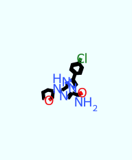 NC(=O)c1cnc(NC2CCCOC2)c2nc(-c3ccc(Cl)cc3)cn12